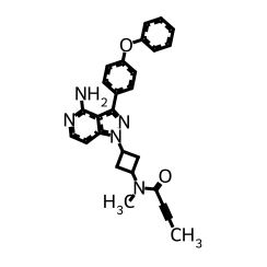 CC#CC(=O)N(C)C1CC(n2nc(-c3ccc(Oc4ccccc4)cc3)c3c(N)nccc32)C1